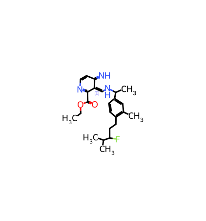 CCOC(=O)C1=NC=CC(=N)/C1=C\NC(C)c1ccc(CCC(F)C(C)C)c(C)c1